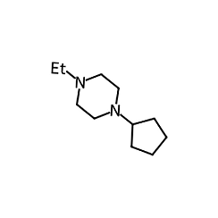 [CH2]CN1CCN(C2CCCC2)CC1